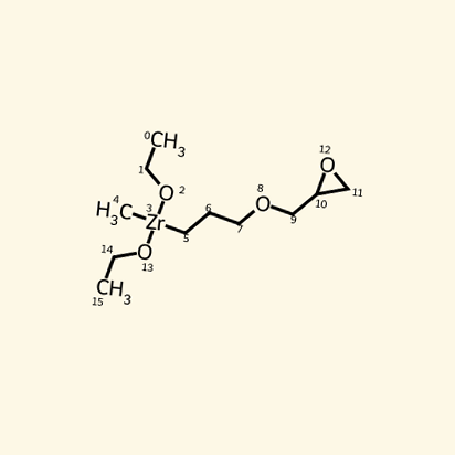 CC[O][Zr]([CH3])([CH2]CCOCC1CO1)[O]CC